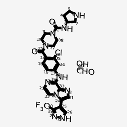 O=C(N[C@H]1CCNC1)N1CCN(C(=O)c2ccc(Nc3nccn4c(-c5c[nH]nc5C(F)(F)F)cnc34)cc2Cl)CC1.O=CO